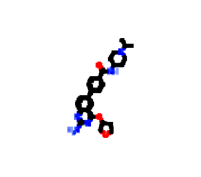 CC(C)N1CCC(NC(=O)c2ccc(-c3ccc4nc(N)nc(OC5CCOC5)c4c3)cc2)CC1